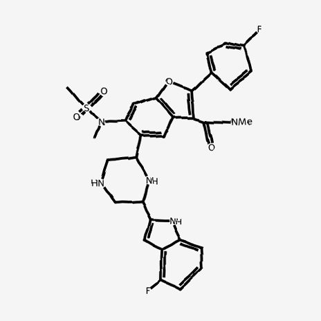 CNC(=O)c1c(-c2ccc(F)cc2)oc2cc(N(C)S(C)(=O)=O)c(C3CNCC(c4cc5c(F)cccc5[nH]4)N3)cc12